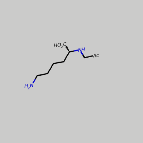 CC(=O)CN[C@@H](CCCCN)C(=O)O